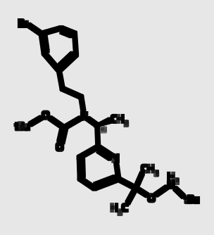 C[C@@H](c1cccc(C(C)(C)O[SiH2]C(C)(C)C)n1)N(CCc1cccc(Br)c1)C(=O)OC(C)(C)C